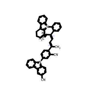 C=C(C#N)/C(=C\C=C(/C)c1ccc(-n2c3ccccc3c3cc(C#N)ccc32)cc1C#N)c1ccccc1-n1c2c(c3ccccc31)CCC=C2